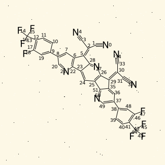 N#CC(C#N)=C1c2cc(-c3ccc(C(F)(F)F)c(F)c3)cnc2-c2cc3c(nc21)C(=C(C#N)C#N)c1cc(-c2ccc(C(F)(F)F)c(F)c2)cnc1-3